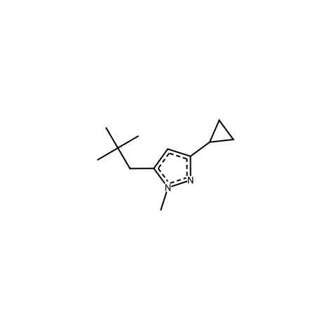 Cn1nc(C2CC2)cc1CC(C)(C)C